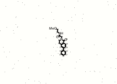 COCCNC(=O)CN1CCc2cc(-c3ccccc3)ccc2C1=O